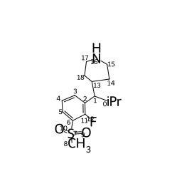 CC(C)C(c1cccc(S(C)(=O)=O)c1F)C1CCNCC1